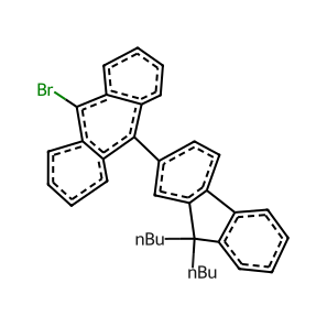 CCCCC1(CCCC)c2ccccc2-c2ccc(-c3c4ccccc4c(Br)c4ccccc34)cc21